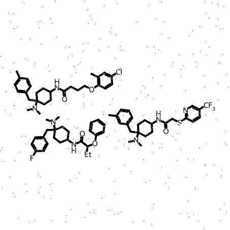 CCC(Oc1ccccc1)C(=O)NC1CCC(Cc2ccc(F)cc2)(N(C)C)CC1.Cc1ccc(CC2(N(C)C)CCC(NC(=O)CCCOc3ccc(Cl)cc3C)CC2)cc1.Cc1cccc(CC2(N(C)C)CCC(NC(=O)CSc3ccc(C(F)(F)F)cn3)CC2)c1